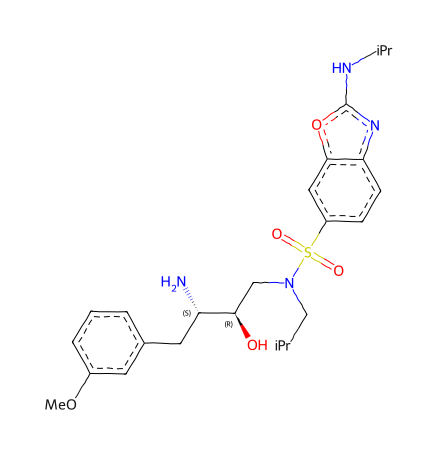 COc1cccc(C[C@H](N)[C@H](O)CN(CC(C)C)S(=O)(=O)c2ccc3nc(NC(C)C)oc3c2)c1